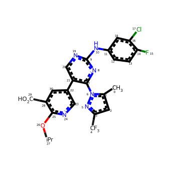 Cc1cc(C(F)(F)F)nn1-c1nc(Nc2ccc(F)c(Cl)c2)ncc1-c1cnc(OC(C)C)c(C(=O)O)c1